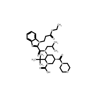 CCOC(=O)CCn1c(C(=O)N(CC(C)C)[C@H]2C[C@@H](C(=O)N3CCOCC3)CN(C(=O)O)C2C(C)(C)C)nc2ccccc21